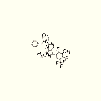 Cn1nc(-c2cc(C(F)(F)F)c(F)c(O)c2F)c2cnc(N3CCOC[C@@H]3Cc3ccccc3)nc21